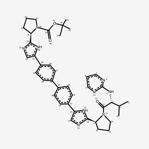 CC(C)[C@@H](Nc1ncccn1)C(=O)N1CCC[C@H]1c1ncc(-c2ccc(-c3ccc(-c4cnc([C@H]5CCCN5C(=O)OC(C)(C)C)[nH]4)cc3)cc2)[nH]1